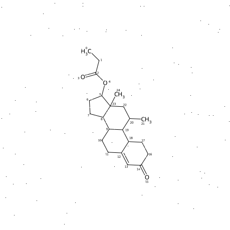 CCC(=O)OC1CCC2C3CCC4=CC(=O)CCC4C3C(C)CC12C